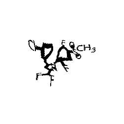 CS(=O)(=O)c1cc(F)c(-n2nc(C(F)F)cc2-c2cccc(Cl)c2)cc1F